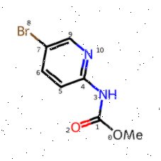 COC(=O)Nc1ccc(Br)cn1